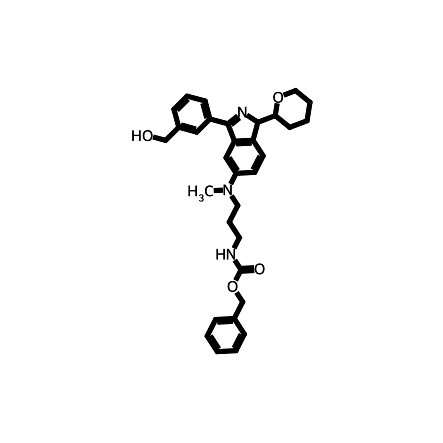 CN(CCCNC(=O)OCc1ccccc1)c1ccc2c(c1)C(c1cccc(CO)c1)=NC2C1CCCCO1